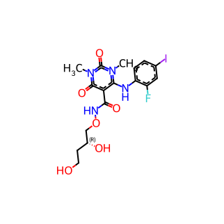 Cn1c(Nc2ccc(I)cc2F)c(C(=O)NOC[C@H](O)CCO)c(=O)n(C)c1=O